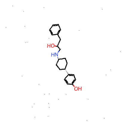 Oc1ccc([C@H]2CC[C@@H](NCC(O)Cc3ccccc3)CC2)cc1